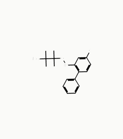 CC(C)(O)C(C)(C)OBc1cc(Cl)ccc1-c1ccccc1